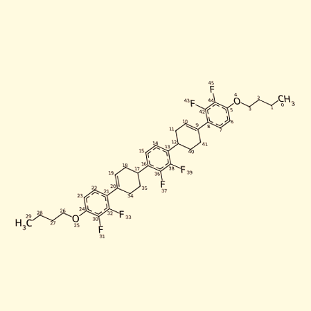 CCCCOc1ccc(C2=CCC(c3ccc(C4CC=C(c5ccc(OCCCC)c(F)c5F)CC4)c(F)c3F)CC2)c(F)c1F